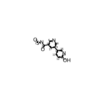 O=S=NC(=O)c1cncc(-c2ccc(O)nc2)c1